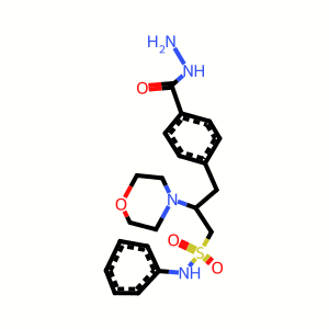 NNC(=O)c1ccc(CC(CS(=O)(=O)Nc2ccccc2)N2CCOCC2)cc1